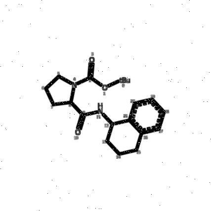 CC(C)(C)OC(=O)N1CCCC1C(=O)NC1CCCc2ccccc21